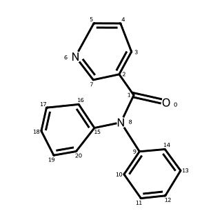 O=C(c1cccnc1)N(c1ccccc1)c1ccccc1